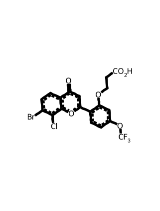 O=C(O)CCOc1cc(OC(F)(F)F)ccc1-c1cc(=O)c2ccc(Br)c(Cl)c2o1